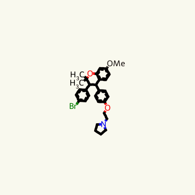 COc1ccc2c(c1)OC(C)(C)C(c1ccc(Br)cc1)C2c1ccc(OCCN2CCCC2)cc1